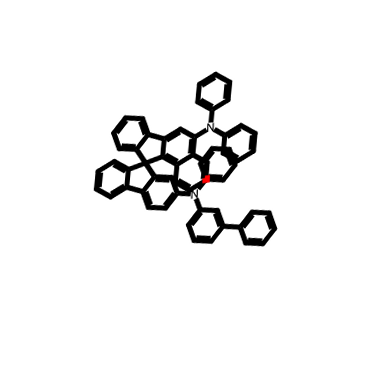 c1ccc(-c2cccc(N(c3ccccc3)c3ccc4c(c3)C3(c5ccccc5-4)c4ccccc4-c4cc(N(c5ccccc5)c5ccccc5)c5ccccc5c43)c2)cc1